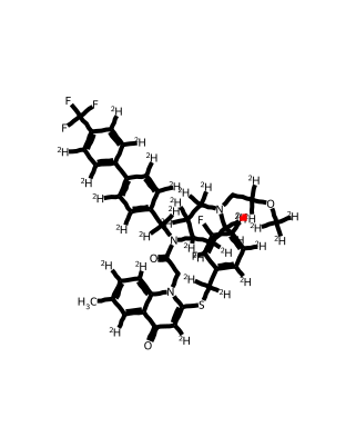 [2H]c1c([2H])c(F)c(F)c(C([2H])([2H])Sc2c([2H])c(=O)c3c([2H])c(C)c([2H])c([2H])c3n2CC(=O)N(C([2H])([2H])c2c([2H])c([2H])c(-c3c([2H])c([2H])c(C(F)(F)F)c([2H])c3[2H])c([2H])c2[2H])C2([2H])C([2H])([2H])C([2H])([2H])N(CC([2H])([2H])OC([2H])([2H])[2H])C([2H])([2H])C2([2H])[2H])c1[2H]